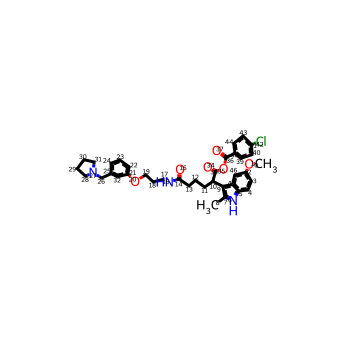 COc1ccc2[nH]c(C)c(C(CCCC(=O)NCCCOc3cccc(CN4CCCC4)c3)C(=O)OC(=O)c3ccc(Cl)cc3)c2c1